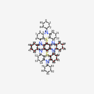 c1ccc(N2c3cccc4c3S3(c5ccccc5)c5c2cccc5N(c2ccccc2)c2c5c6c(c(c23)N4c2ccccc2)N(c2ccccc2)c2cccc3c2S6(c2ccccc2)c2c(cccc2N5c2ccccc2)N3c2ccccc2)cc1